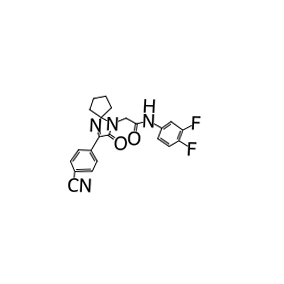 N#Cc1ccc(C2=NC3(CCCC3)N(CC(=O)Nc3ccc(F)c(F)c3)C2=O)cc1